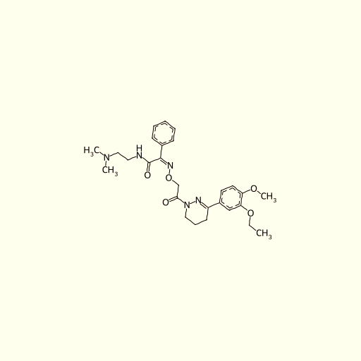 CCOc1cc(C2=NN(C(=O)CON=C(C(=O)NCCN(C)C)c3ccccc3)CCC2)ccc1OC